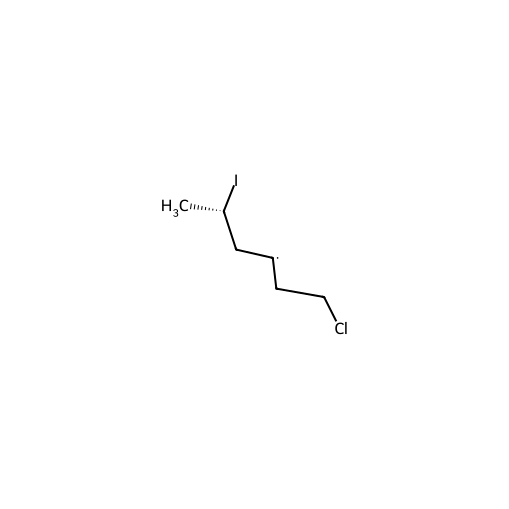 C[C@H](I)C[CH]CCCl